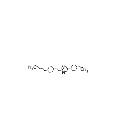 CCCCC[C@H]1CC[C@H](CCc2ncc([C@H]3CC[C@H](CC)CC3)cn2)CC1